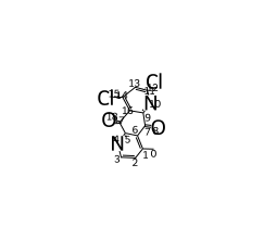 Cc1ccnc2c1C(=O)c1nc(Cl)cc(Cl)c1C2=O